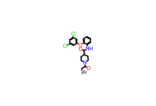 CC(C)CC(=O)N1CCC(C(=O)Nc2ccccc2Oc2cc(Cl)cc(Cl)c2)CC1